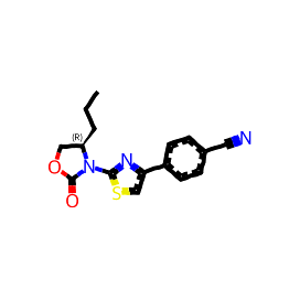 CCC[C@@H]1COC(=O)N1c1nc(-c2ccc(C#N)cc2)cs1